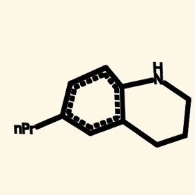 CCCc1ccc2c(c1)CCCN2